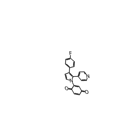 O=C1C=CC(=O)C(n2ccc(-c3ccc(F)cc3)c2-c2ccncc2)=C1